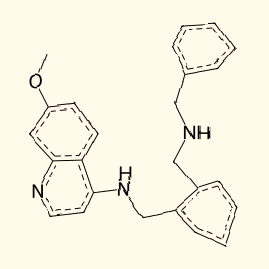 COc1ccc2c(NCc3ccccc3CNCc3ccccc3)ccnc2c1